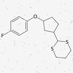 Fc1ccc(OC2CCC(C3SCCCS3)C2)cc1